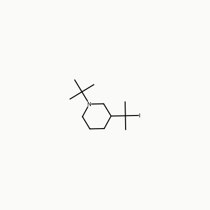 CC(C)(I)C1CCCN(C(C)(C)C)C1